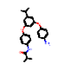 CC(C)C(=O)Nc1ccc(Oc2cc(Oc3ccc(N)cc3)cc(C(C)C)c2)cc1